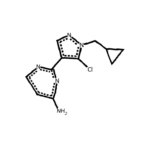 Nc1ccnc(-c2cnn(CC3CC3)c2Cl)n1